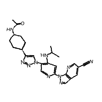 CC(=O)N[C@H]1CC[C@@H](c2cn(-c3cnc(-n4ncc5cc(C#N)cnc54)cc3NC(C)C)nn2)CC1